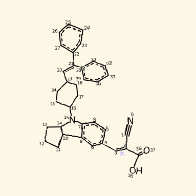 N#C/C(=C\c1ccc2c(c1)C1CCCC1N2C1CCC(C=C(c2ccccc2)c2ccccc2)CC1)C(=O)O